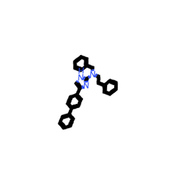 c1ccc(CCN(Cc2ccccc2)c2nc(-c3ccc(-c4ccccc4)cc3)c[nH]2)cc1